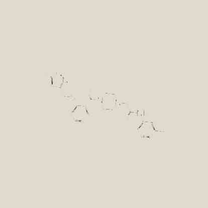 Cc1cc(CSc2ccccc2C(=O)N2CCN(CC(=O)Nc3cccc(C)c3C)CC2)no1